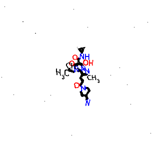 Cc1nn2c(O)c(C(=O)NC3CC3)c(=O)n(CC(C)C)c2c1C=CC(=O)N1CCC(C#N)CC1